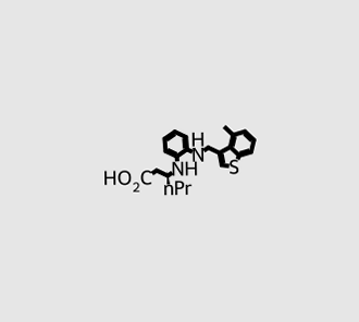 CCC[C@@H](CC(=O)O)Nc1ccccc1NCc1csc2cccc(C)c12